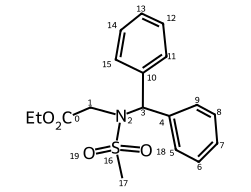 CCOC(=O)CN(C(c1ccccc1)c1ccccc1)S(C)(=O)=O